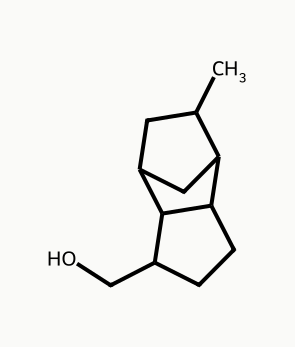 CC1CC2CC1C1CCC(CO)C21